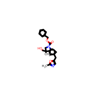 Cc1ncc(Cc2ccc3c(c2)C(C)(CO)CN3C(=O)OCc2ccccc2)o1